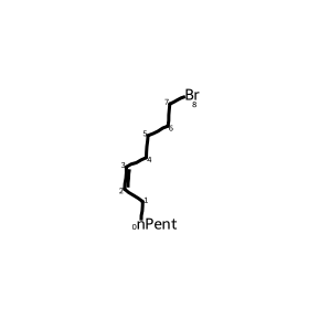 CCCCCC/C=C\CCCCBr